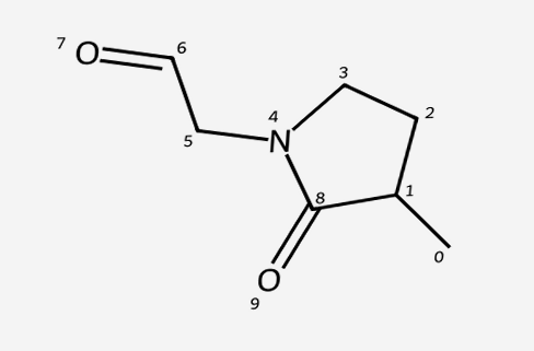 CC1CCN(CC=O)C1=O